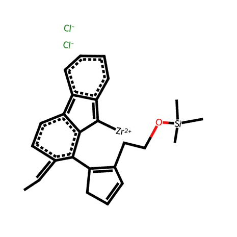 CC=c1ccc2c(c1C1=C(CCO[Si](C)(C)C)C=CC1)[C]([Zr+2])=c1ccccc1=2.[Cl-].[Cl-]